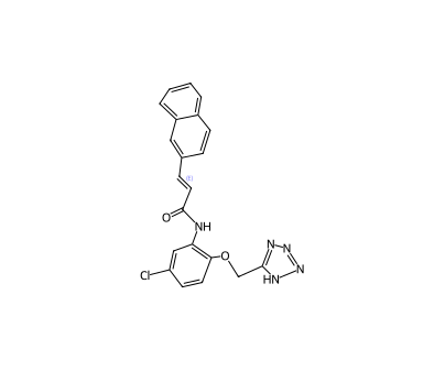 O=C(/C=C/c1ccc2ccccc2c1)Nc1cc(Cl)ccc1OCc1nnn[nH]1